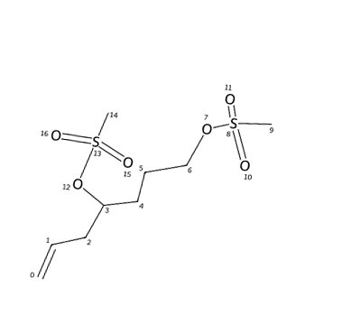 C=CCC(CCCOS(C)(=O)=O)OS(C)(=O)=O